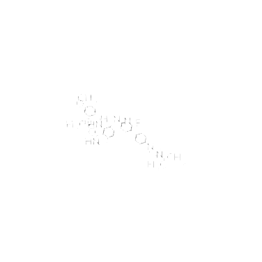 COc1ccc(CNc2cc(-c3cc(-c4ccc(N5CCN(C(C)C)CC5)cc4)c(F)nc3N)cc3c2C(=O)NCC3)c(OC)c1